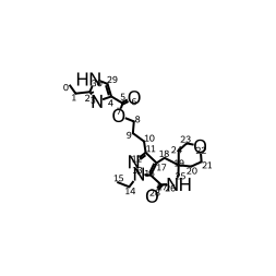 CCc1nc(C(=O)OCCCc2nn(CC)c3c2CC2(CCOCC2)CNC3=O)c[nH]1